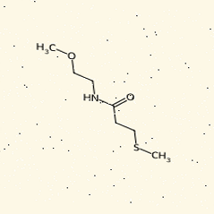 COCCNC(=O)CCSC